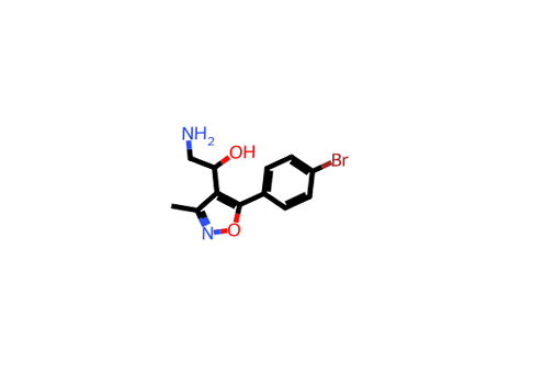 Cc1noc(-c2ccc(Br)cc2)c1C(O)CN